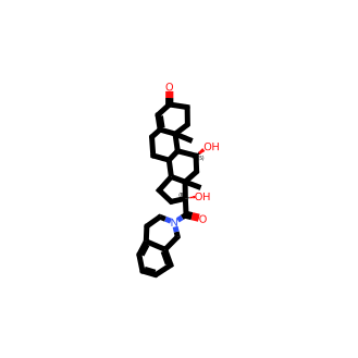 CC12CCC(=O)C=C1CCC1C2[C@@H](O)CC2(C)C1CC[C@]2(O)C(=O)N1CCc2ccccc2C1